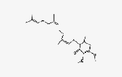 COC1=C(OC)C(=O)C(CC=C(C)CCC=C(C)CCC=C(C)C)C(C)C1